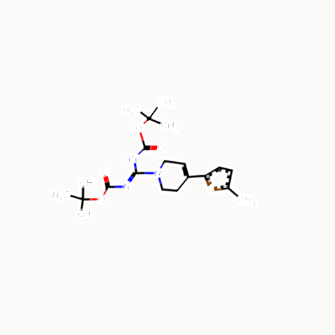 Cc1ccc(C2=CCN(C(=NC(=O)OC(C)(C)C)NC(=O)OC(C)(C)C)CC2)s1